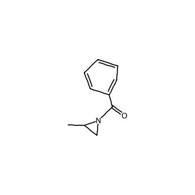 CC1CN1C(=O)c1ccccc1